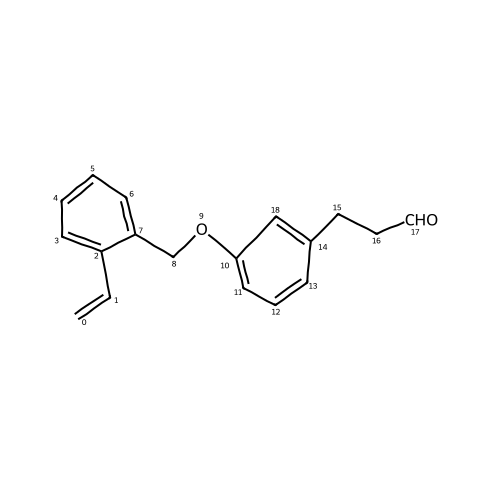 C=Cc1ccccc1COc1cccc(CCC=O)c1